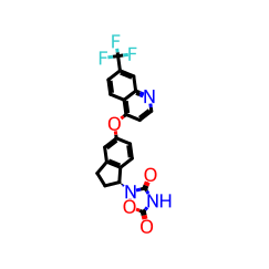 O=c1[nH]c(=O)n([C@@H]2CCc3cc(Oc4ccnc5cc(C(F)(F)F)ccc45)ccc32)o1